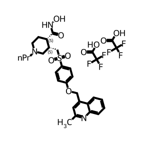 CCCN1CC[C@H](C(=O)NO)[C@H](CS(=O)(=O)c2ccc(OCc3cc(C)nc4ccccc34)cc2)C1.O=C(O)C(F)(F)F.O=C(O)C(F)(F)F